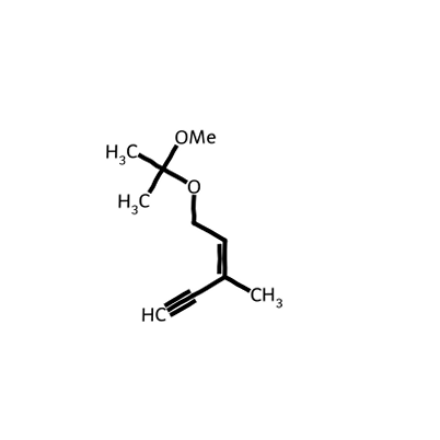 C#CC(C)=CCOC(C)(C)OC